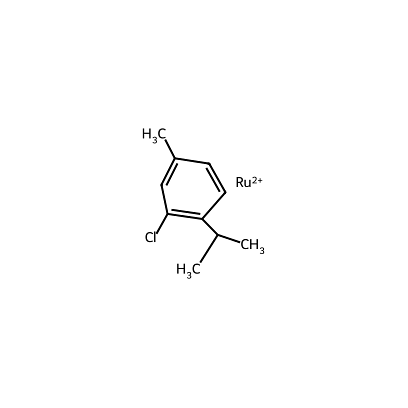 Cc1ccc(C(C)C)c(Cl)c1.[Ru+2]